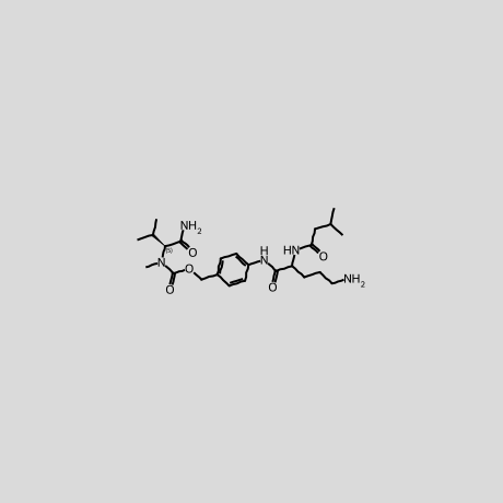 CC(C)CC(=O)NC(CCCN)C(=O)Nc1ccc(COC(=O)N(C)[C@H](C(N)=O)C(C)C)cc1